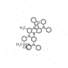 Cc1cc2c3c(c1)-n1c4c(ccc(N(c5ccccc5)c5ccccc5)c4c4oc5ccccc5c41)B3c1ccc(N(c3ccccc3)c3ccccc3)cc1N2c1cccc(C(C)(C)C)c1